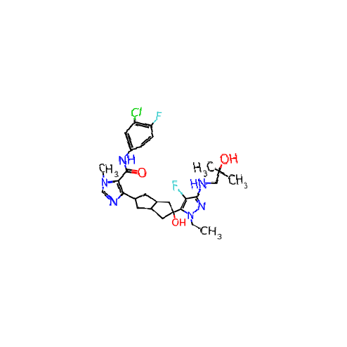 CCn1nc(NCC(C)(C)O)c(F)c1C1(O)CC2CC(c3ncn(C)c3C(=O)Nc3ccc(F)c(Cl)c3)CC2C1